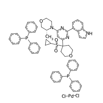 C[C@@H]1COCCN1c1cc(C2(S(=O)(=O)C3CC3)CCOCC2)nc(-c2cccc3[nH]ccc23)n1.[Cl][Pd][Cl].c1ccc(P(c2ccccc2)c2ccccc2)cc1.c1ccc(P(c2ccccc2)c2ccccc2)cc1